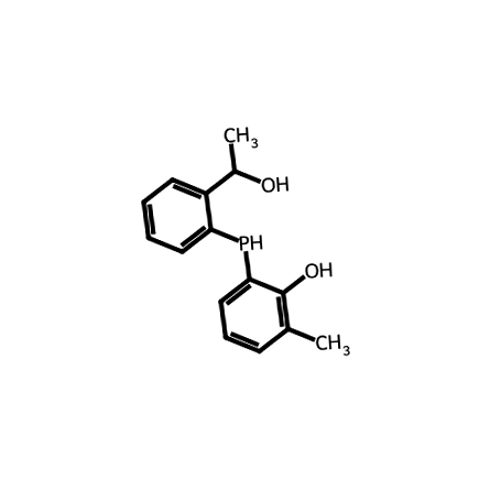 Cc1cccc(Pc2ccccc2C(C)O)c1O